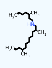 C=CCC[C@H](C)CCNC[C@@H](C)CCCCCCC(C)CC=C